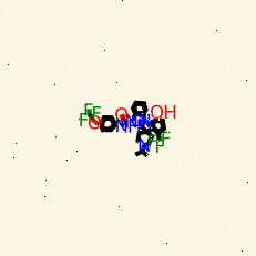 CC(C)N1CCC2(CC1)CN(c1ccccc1NC(=O)Nc1ccc(OC(F)(F)F)cc1)c1c(O)ccc(C(F)(F)F)c12